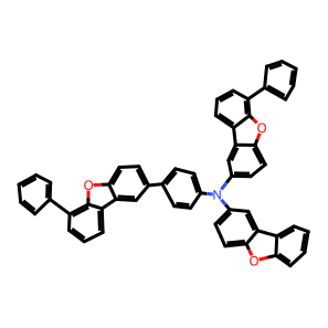 c1ccc(-c2cccc3c2oc2ccc(-c4ccc(N(c5ccc6oc7ccccc7c6c5)c5ccc6oc7c(-c8ccccc8)cccc7c6c5)cc4)cc23)cc1